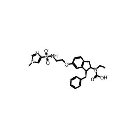 CCN(C(=O)O)C1Cc2ccc(OCCNS(=O)(=O)c3cn(C)cn3)cc2C1Cc1ccccc1